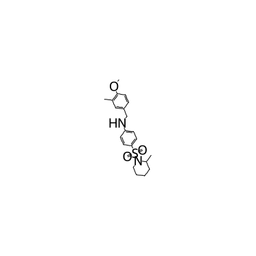 COc1ccc(CNc2ccc(S(=O)(=O)N3CCCCC3C)cc2)cc1C